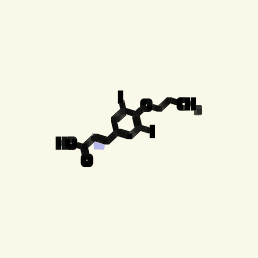 CCCOc1c(I)cc(/C=C/C(=O)O)cc1I